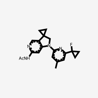 CC(=O)Nc1cc2c(cn1)C1(CC1)CN2c1cc(C)cc(C2(F)CC2)n1